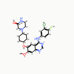 COc1cc2ncnc(Nc3ccc(F)c(Cl)c3)c2cc1O[C@H]1CC[C@H](N2CCNC(=O)C2)CC1